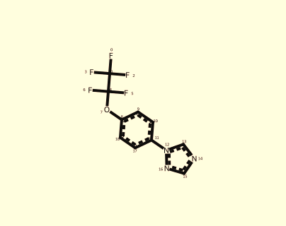 FC(F)(F)C(F)(F)Oc1ccc(-n2cncn2)cc1